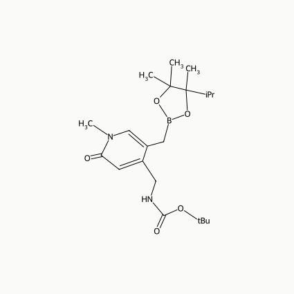 CC(C)C1(C)OB(Cc2cn(C)c(=O)cc2CNC(=O)OC(C)(C)C)OC1(C)C